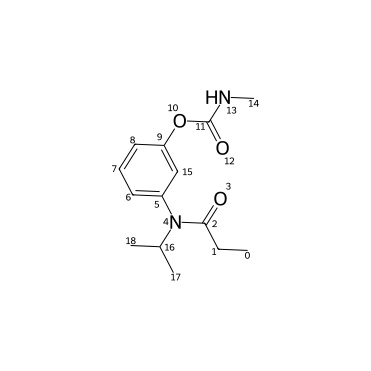 CCC(=O)N(c1cccc(OC(=O)NC)c1)C(C)C